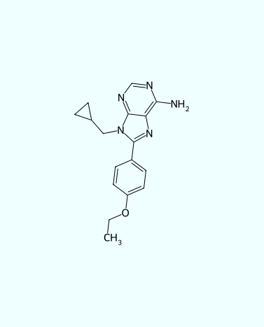 CCOc1ccc(-c2nc3c(N)ncnc3n2CC2CC2)cc1